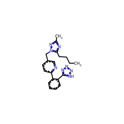 CCCCc1nc(C)nn1Cc1ccc(-c2ccccc2-c2nnn[nH]2)nc1